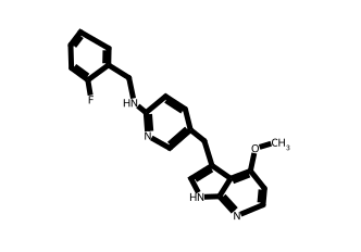 COc1ccnc2[nH]cc(Cc3ccc(NCc4ccccc4F)nc3)c12